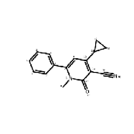 Cn1c(-c2ccccc2)cc(C2CC2)c(C#N)c1=O